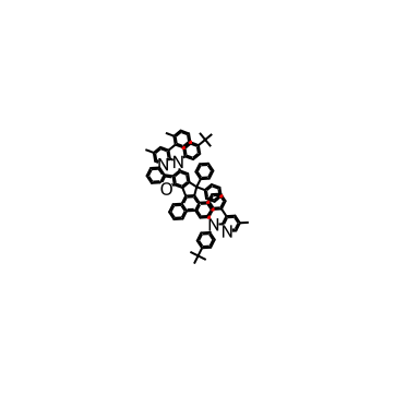 Cc1cnc(N(c2ccc(C(C)(C)C)cc2)c2ccc3c4c(c5ccccc5c3c2)-c2c(cc(N(c3ccc(C(C)(C)C)cc3)c3ncc(C)cc3-c3ccccc3C)c3c2oc2ccccc23)C4(c2ccccc2)c2ccccc2)c(-c2ccccc2C)c1